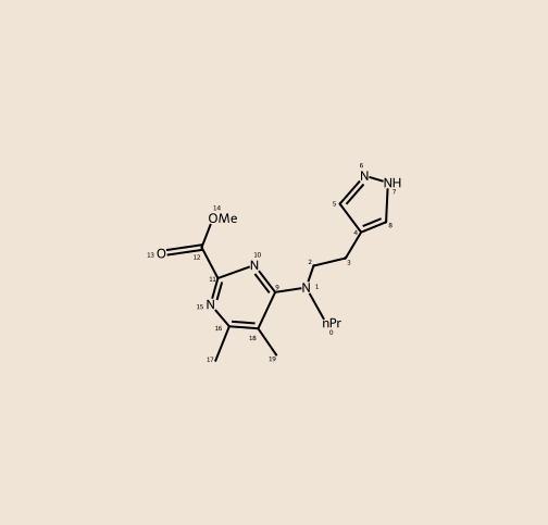 CCCN(CCc1cn[nH]c1)c1nc(C(=O)OC)nc(C)c1C